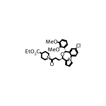 CCOC(=O)C1CCN(C(=O)CC[C@H]2O[C@H](c3cccc(OC)c3OC)c3cc(Cl)ccc3-n3cccc32)CC1